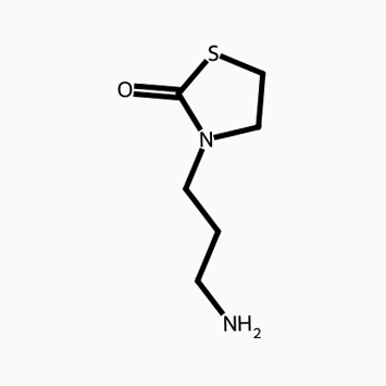 NCCCN1CCSC1=O